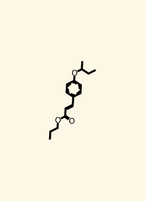 CCCOC(=O)C=Cc1ccc(OC(C)CC)cc1